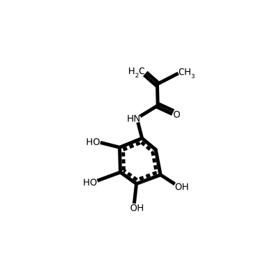 C=C(C)C(=O)Nc1cc(O)c(O)c(O)c1O